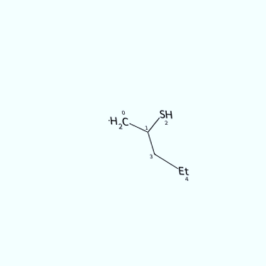 [CH2]C(S)CCC